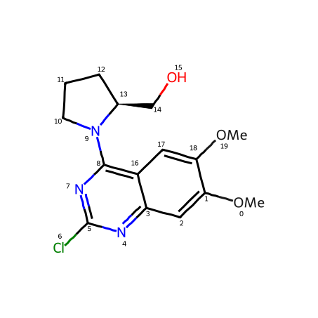 COc1cc2nc(Cl)nc(N3CCC[C@H]3CO)c2cc1OC